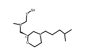 CC(C)CCCN1CCO[C@@H](CN(C)CSS)C1